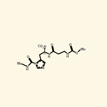 CC(C)(C)NC(=O)n1cncc1C[C@H](NC(=O)CCNC(=O)OC(C)(C)C)C(=O)O